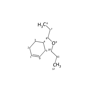 C1=CCCCC1.CCCOCCC